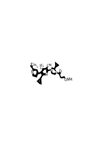 C=Cc1cc(-c2c(C3CC3)nc(N3CCN(C(=O)CCOC)C(C4CC4)C3)c(C#N)c2C)ccn1